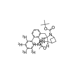 [2H]c1c([2H])c([2H])c(-c2cccc(C[C@H]3[C@@H](NS(C)(=O)=O)C4CC(C4)N3C(=O)OC(C)(C)C)c2F)c([2H])c1[2H]